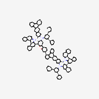 c1ccc(-c2cc(-c3ccccc3)cc(N3c4cc5cc6c(cc5cc4B4c5c3cc3ccccc3c5-c3cc5ccccc5c5c7c8ccccc8ccc7n4c35)c3ccccc3c3c(-c4ccc5c(c4)oc4c7c8c(cc45)N(c4cc(-c5ccccc5)cc(-c5ccccc5)c4)c4cc5cc9c%10ccccc%10c%10ccccc%10c9cc5cc4B8n4c5ccc8ccccc8c5c5c8ccccc8cc-7c54)cccc63)c2)cc1